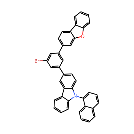 Brc1cc(-c2ccc3c(c2)oc2ccccc23)cc(-c2ccc3c(c2)c2ccccc2n3-c2cccc3ccccc23)c1